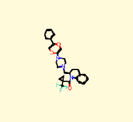 O=C(N1c2ccccc2CCC1CN1CCN(C2=COC(C3=CC=CCC3)=CO2)CC1)C1(C(F)(F)F)CC1